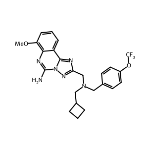 COc1cccc2c1nc(N)n1nc(CN(Cc3ccc(OC(F)(F)F)cc3)CC3CCC3)nc21